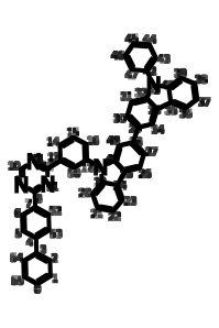 c1ccc(-c2ccc(-c3ncnc(-c4cccc(-n5c6ccccc6c6ccc(-c7ccc8c(c7)c7ccccc7n8-c7ccccc7)cc65)c4)n3)cc2)cc1